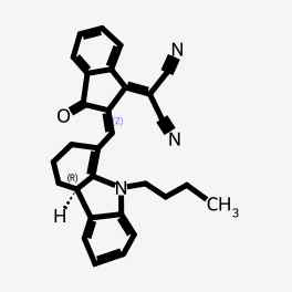 CCCCN1C2=C(/C=C3\C(=O)c4ccccc4C3=C(C#N)C#N)CCC[C@@H]2c2ccccc21